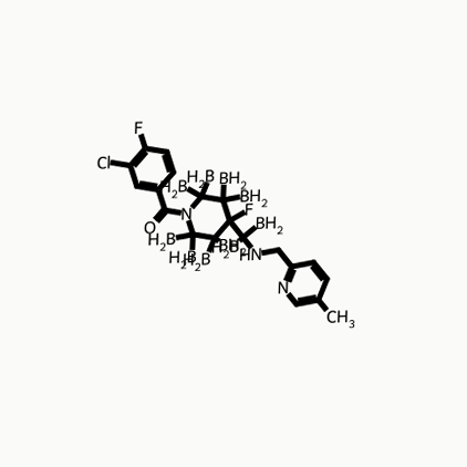 BC(B)(NCc1ccc(C)cn1)C1(F)C(B)(B)C(B)(B)N(C(=O)c2ccc(F)c(Cl)c2)C(B)(B)C1(B)B